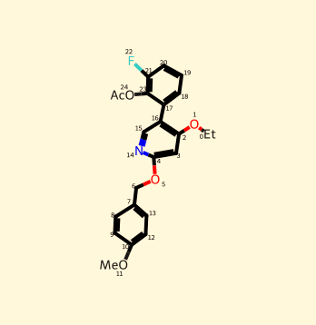 CCOc1cc(OCc2ccc(OC)cc2)ncc1-c1cccc(F)c1OC(C)=O